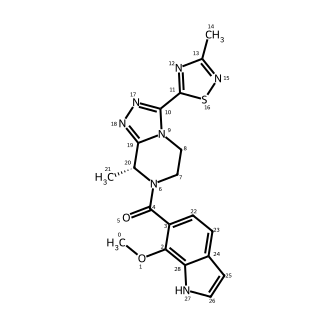 COc1c(C(=O)N2CCn3c(-c4nc(C)ns4)nnc3[C@H]2C)ccc2cc[nH]c12